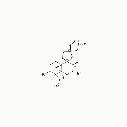 C[C@H]1CC[C@H]2C(C)(CO)C(O)CC[C@]2(C)[C@@]12CC[C@](CO)(CC(=O)[O-])O2.[Na+]